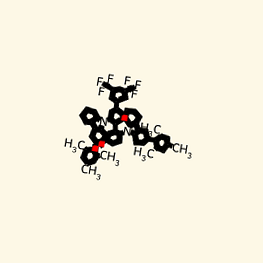 Cc1cc(C)c(-c2ccc3c(c2)c2ccccc2n3-c2ccc(C#N)cc2-c2ccc(-c3cc(C(F)(F)F)cc(C(F)(F)F)c3)cc2-n2c3ccccc3c3cc(-c4c(C)cc(C)cc4C)ccc32)c(C)c1